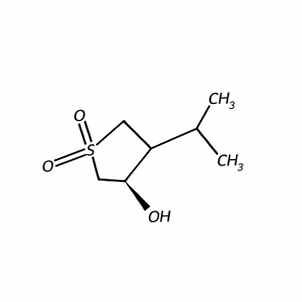 CC(C)C1CS(=O)(=O)C[C@@H]1O